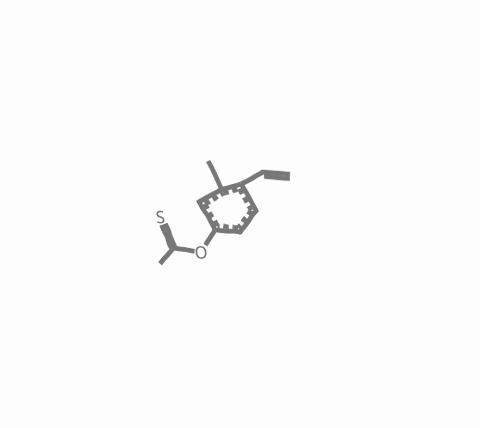 C=Cc1ccc(OC(C)=S)cc1C